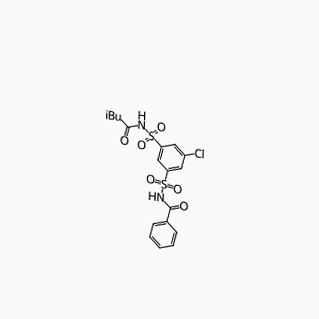 CCC(C)C(=O)NS(=O)(=O)c1cc(Cl)cc(S(=O)(=O)NC(=O)c2ccccc2)c1